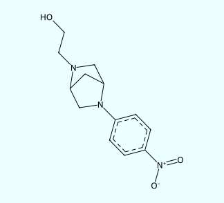 O=[N+]([O-])c1ccc(N2CC3CC2CN3CCO)cc1